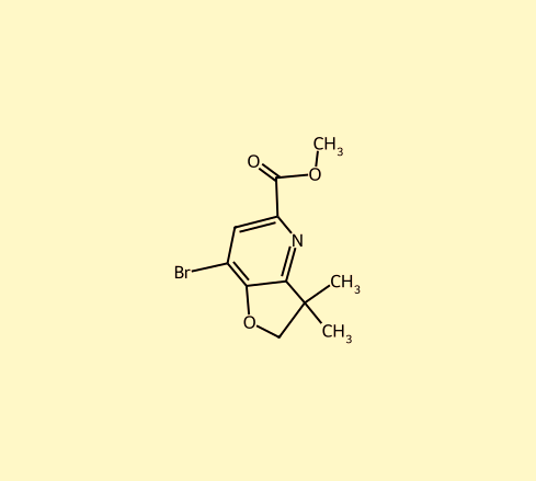 COC(=O)c1cc(Br)c2c(n1)C(C)(C)CO2